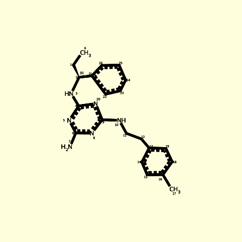 CC[C@H](Nc1nc(N)nc(NCCc2ccc(C)cc2)n1)c1ccccc1